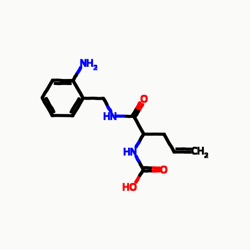 C=CCC(NC(=O)O)C(=O)NCc1ccccc1N